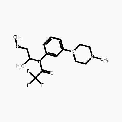 COCC(C)N(C(=O)C(F)(F)F)c1[c]ccc(N2CCN(C)CC2)c1